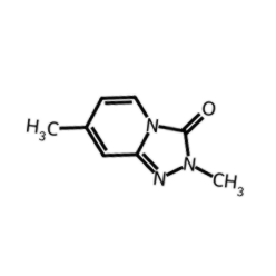 Cc1ccn2c(=O)n(C)nc2c1